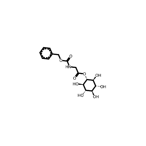 O=C(CNC(=O)OCc1ccccc1)O[C@H]1[C@H](O)[C@@H](O)[C@H](O)[C@@H](O)[C@@H]1O